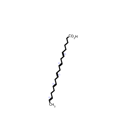 C/C=C/CC/C=C/C/C=C/C/C=C/C/C=C/CCCCC(=O)O